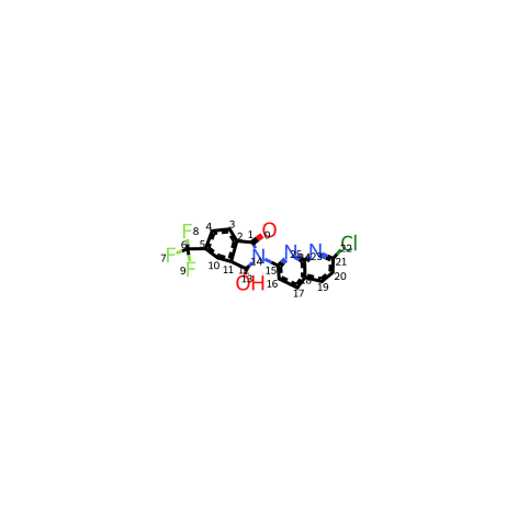 O=C1c2ccc(C(F)(F)F)cc2C(O)N1c1ccc2ccc(Cl)nc2n1